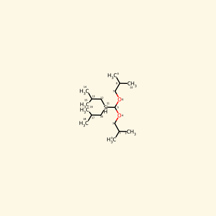 CC(C)COC(OCC(C)C)[SiH](CC(C)C)CC(C)C